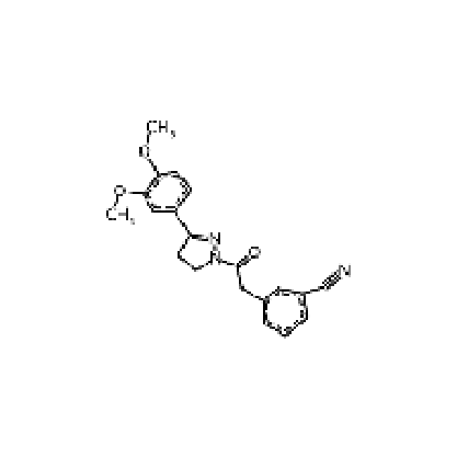 COc1ccc(C2=NN(C(=O)Cc3cccc(C#N)c3)CC2)cc1OC